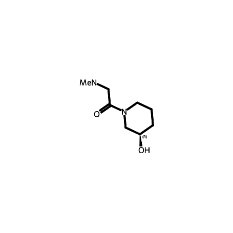 CNCC(=O)N1CCC[C@@H](O)C1